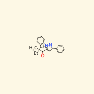 CCC(C)(C)C(=O)c1cc(-c2ccccc2)nn1-c1ccccc1